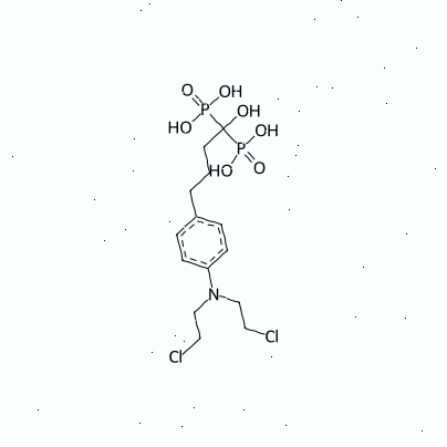 O=P(O)(O)C(O)(CCCc1ccc(N(CCCl)CCCl)cc1)P(=O)(O)O